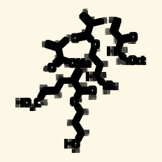 C=C(C)C(=O)OC.C=C(C)C(=O)OCCNC(C)(C)C.C=C(CC=CC(=O)O)C(=O)OCCCO.C=CC(=O)NCCCCCCCC